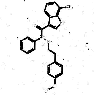 COc1ccc(CCN[C@@H](C(=O)c2c[nH]c3c(C)cccc23)c2ccccc2)cc1